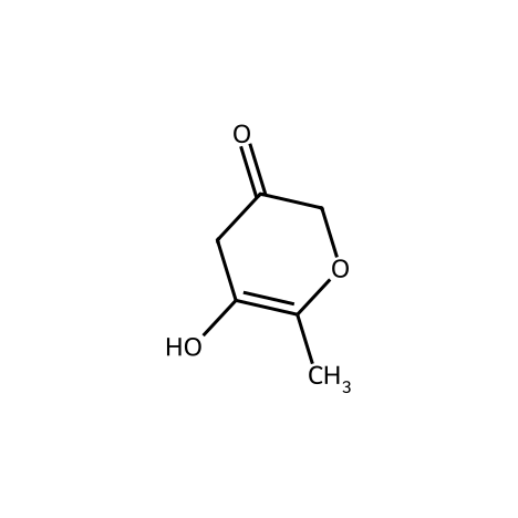 CC1=C(O)CC(=O)CO1